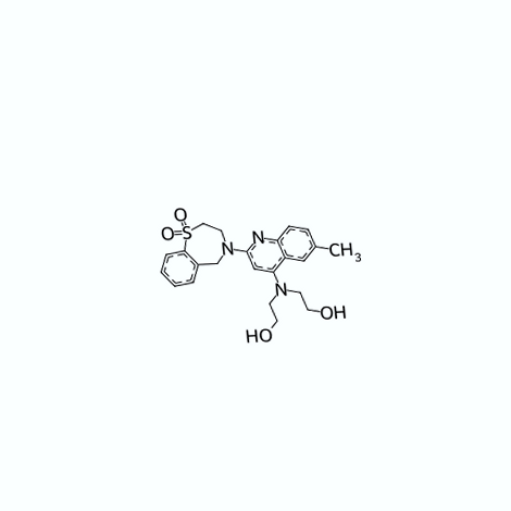 Cc1ccc2nc(N3CCS(=O)(=O)c4ccccc4C3)cc(N(CCO)CCO)c2c1